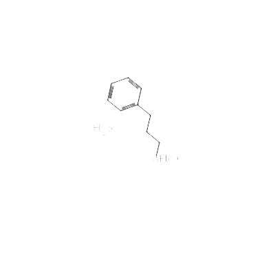 CCCCCCCCCc1ccccc1.S